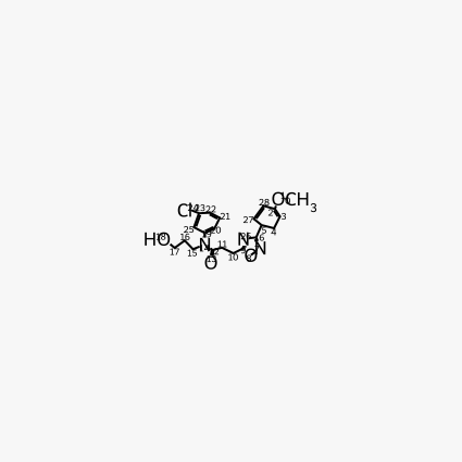 COC1=CCC(c2noc(CCC(=O)N(CCCO)c3cccc(Cl)c3)n2)C=C1